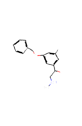 CC(C)(C)NCC(O)c1cc(OCc2ccccc2)cc(C(=O)O)c1